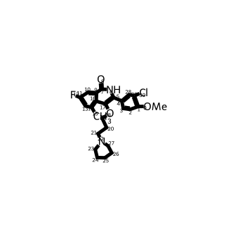 COc1ccc(-c2[nH]c(=O)c3cc(F)cc(C)c3c2OCCCN2CCCCC2)cc1Cl